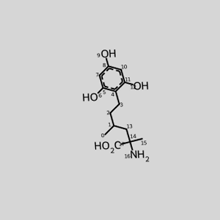 CC(CCc1c(O)cc(O)cc1O)CC(C)(N)C(=O)O